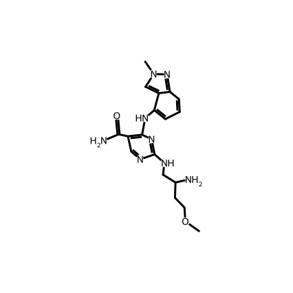 COCCC(N)CNc1ncc(C(N)=O)c(Nc2cccc3nn(C)cc23)n1